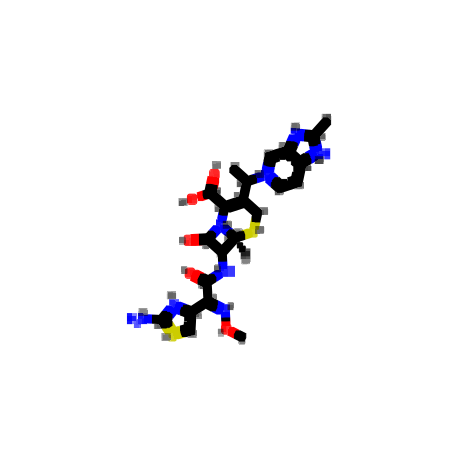 CON=C(C(=O)NC1C(=O)N2C(C(=O)[O-])=C(C(C)[n+]3ccc4[nH]c(C)nc4c3)CS[C@@H]12)c1csc(N)n1